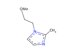 COCCn1c[c]nc1C